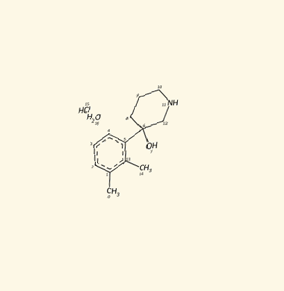 Cc1cccc(C2(O)CCCNC2)c1C.Cl.O